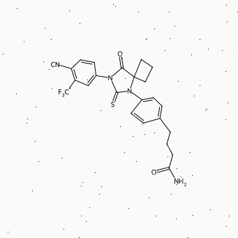 [C-]#[N+]c1ccc(N2C(=O)C3(CCC3)N(c3ccc(CCCC(N)=O)cc3)C2=S)cc1C(F)(F)F